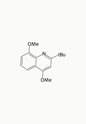 COc1cc(C(C)(C)C)nc2c(OC)cccc12